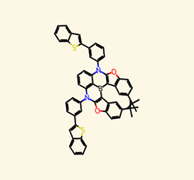 CC(C)(C)c1ccc2oc3c(c2c1)B1c2c(cccc2N(c2cccc(-c4cc5ccccc5s4)c2)c2oc4ccc(C(C)(C)C)cc4c21)N3c1cccc(-c2cc3ccccc3s2)c1